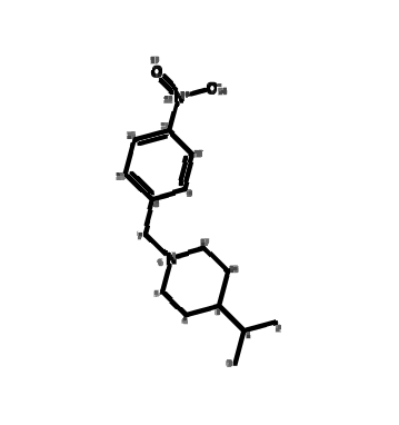 CC(C)C1CCN(Cc2ccc([N+](=O)[O-])cc2)CC1